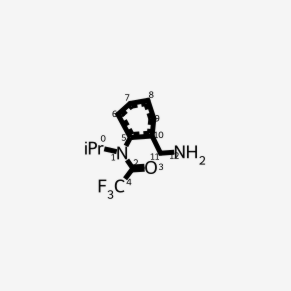 CC(C)N(C(=O)C(F)(F)F)c1ccccc1CN